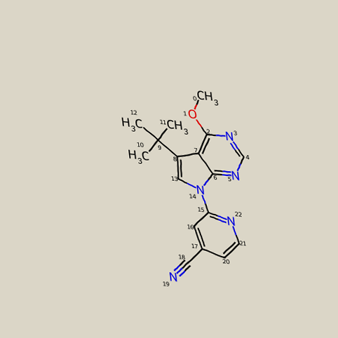 COc1ncnc2c1c(C(C)(C)C)cn2-c1cc(C#N)ccn1